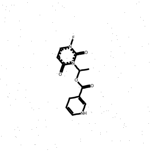 CC(OC(=O)C1=CNC=CC1)n1c(=O)ccn(F)c1=O